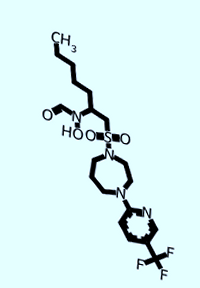 CCCCCC(CS(=O)(=O)N1CCCN(c2ccc(C(F)(F)F)cn2)CC1)N(O)C=O